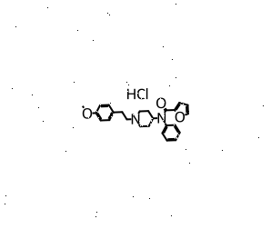 COc1ccc(CCN2CCC(N(C(=O)c3ccco3)c3ccccc3)CC2)cc1.Cl